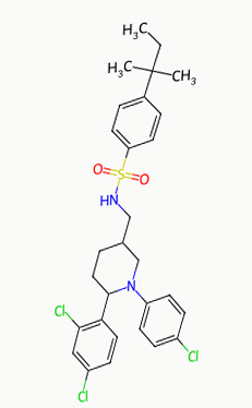 CCC(C)(C)c1ccc(S(=O)(=O)NCC2CCC(c3ccc(Cl)cc3Cl)N(c3ccc(Cl)cc3)C2)cc1